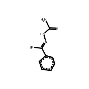 CC(C)/C(=N\NC(N)=S)c1ccccc1